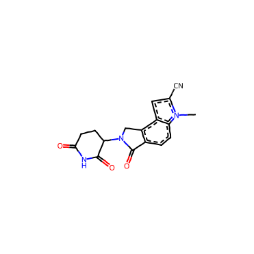 Cn1c(C#N)cc2c3c(ccc21)C(=O)N(C1CCC(=O)NC1=O)C3